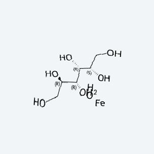 O.OC[C@@H](O)[C@@H](O)[C@H](O)[C@@H](O)CO.[Fe]